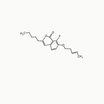 C/C=C/CCOc1ccc2cc(CCCCC)oc(=O)c2c1F